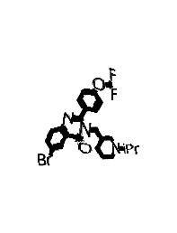 CC(C)N1CCCC(Cn2c(-c3ccc(OC(F)F)cc3)nc3ccc(Br)cc3c2=O)C1